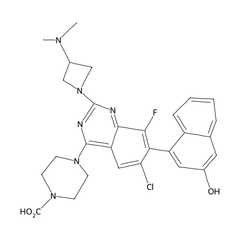 CN(C)C1CN(c2nc(N3CCN(C(=O)O)CC3)c3cc(Cl)c(-c4cc(O)cc5ccccc45)c(F)c3n2)C1